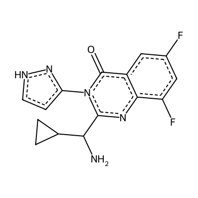 NC(c1nc2c(F)cc(F)cc2c(=O)n1-c1cc[nH]n1)C1CC1